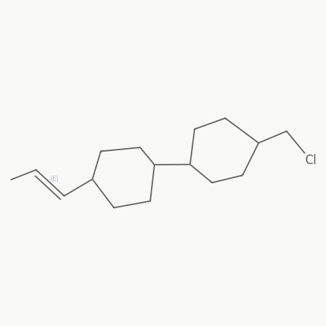 C/C=C/C1CCC(C2CCC(CCl)CC2)CC1